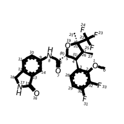 COc1c([C@H]2[C@H](C(=O)Nc3ccc4c(c3)C(=O)NC4)O[C@@](C)(C(F)(F)F)[C@H]2C)ccc(F)c1F